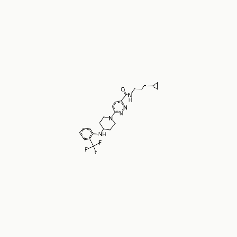 O=C(NCCCC1CC1)c1ccc(N2CCC(Nc3ccccc3C(F)(F)F)CC2)nn1